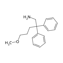 COCCCC(CN)(c1ccccc1)c1ccccc1